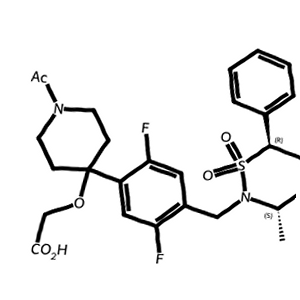 CC(=O)N1CCC(OCC(=O)O)(c2cc(F)c(CN3[C@@H](C)CC[C@H](c4ccccc4)S3(=O)=O)cc2F)CC1